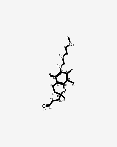 COCCOCOc1c(C)c(C)c2c(c1C)CCC(C)(CCC=O)O2